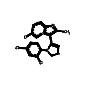 Cc1nc2ccc(Cl)cn2c1C1=CSCN1c1ccc(Cl)cc1Cl